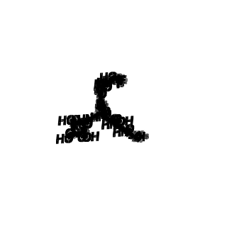 O=C(O)CN1CCN(CC(=O)O)CCN(CC(=O)NCCCC[C@H](NC(=O)CCCC(=O)NC(CCCCNC(=O)CCCc2ccc(I)cc2)C(=O)O)C(=O)N2CCN(CCCOc3ccc4nccc(C(=O)NCC(O)N5CCC(F)(F)C5)c4c3)CC2)CCN(CC(=O)O)CC1